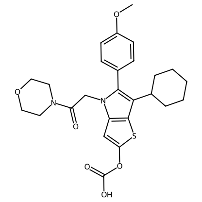 COc1ccc(-c2c(C3CCCCC3)c3sc(OC(=O)O)cc3n2CC(=O)N2CCOCC2)cc1